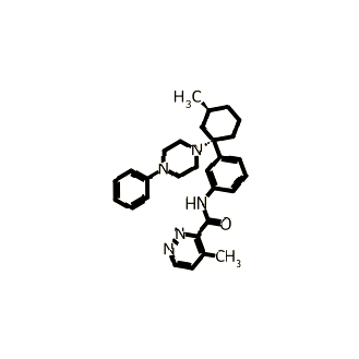 Cc1ccnnc1C(=O)Nc1cccc([C@]2(N3CCN(c4ccccc4)CC3)CCC[C@H](C)C2)c1